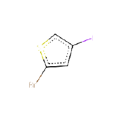 Brc1cc(I)cs1